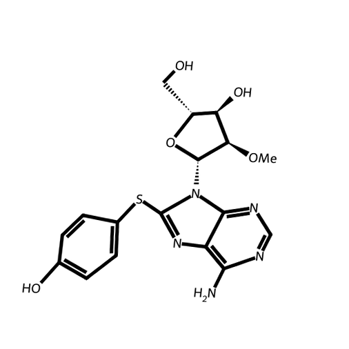 CO[C@@H]1[C@H](O)[C@@H](CO)O[C@H]1n1c(Sc2ccc(O)cc2)nc2c(N)ncnc21